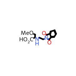 COCC(NCCN1C(=O)c2ccccc2C1=O)C(=O)O